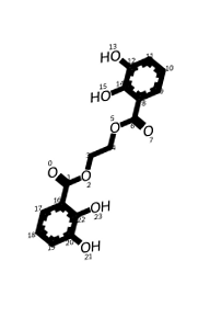 O=C(OCCOC(=O)c1cccc(O)c1O)c1cccc(O)c1O